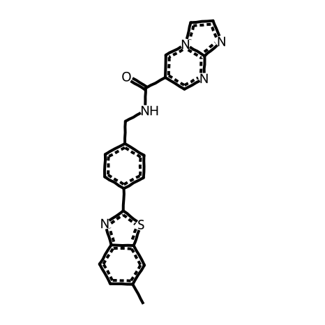 Cc1ccc2nc(-c3ccc(CNC(=O)c4cnc5nccn5c4)cc3)sc2c1